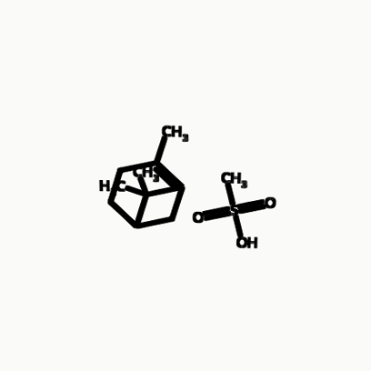 CC1=C2CC(CC1)C2(C)C.CS(=O)(=O)O